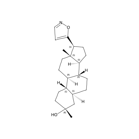 C[C@@]1(O)CC[C@H]2[C@@H](CC[C@@H]3[C@@H]2CC[C@]2(C)[C@@H](c4ccno4)CC[C@@H]32)C1